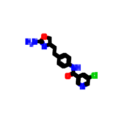 NC1=NC(CCc2ccc(NC(=O)c3cncc(Cl)c3)cc2)CO1